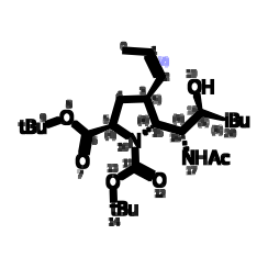 C/C=C\[C@@H]1C[C@H](C(=O)OC(C)(C)C)N(C(=O)OC(C)(C)C)[C@H]1[C@@H](NC(C)=O)[C@@H](O)[C@H](C)CC